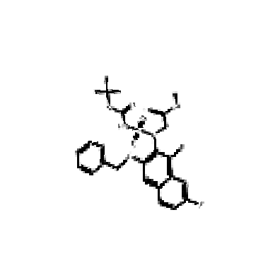 COC(=O)CN(c1c(OCc2ccccc2)cc2ccc(Br)cc2c1F)S(=O)(=O)NC(=O)OC(C)(C)C